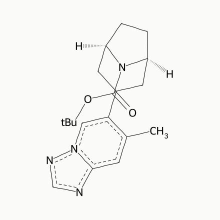 Cc1cc2ncnn2cc1C1C[C@H]2CC[C@@H](C1)N2C(=O)OC(C)(C)C